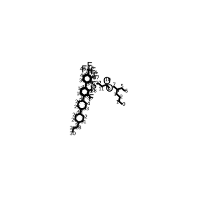 CCCCC(CC)COC(=O)CCSc1c(-c2ccc(C3CCC(C4CCC(CCC)CC4)CC3)c(F)c2F)ccc(C(F)(F)F)c1F